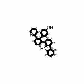 Oc1ccc(-c2c(-c3ccccn3)cccc2-c2cccc3c2[nH]c2ccccc23)cc1